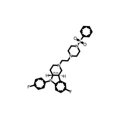 O=S(=O)(c1ccccc1)N1CCN(CCN2CC[C@@H]3[C@@H](C2)c2cc(F)ccc2N3c2ccc(F)cc2)CC1